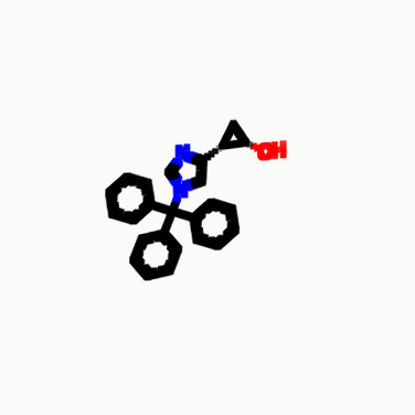 O[C@H]1C[C@H]1c1cn(C(c2ccccc2)(c2ccccc2)c2ccccc2)cn1